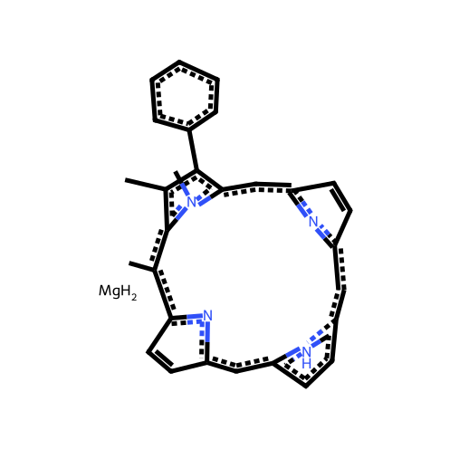 Cc1c2nc(cc3ccc(cc4nc(cc5c(-c6ccccc6)c(C)c1n5C)C=C4)[nH]3)C=C2.[MgH2]